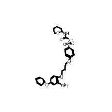 CCCc1cc(Oc2ccccc2)ccc1OCCCOc1ccc(S(=O)(=O)NC(=O)NC2CCCCC2)cc1